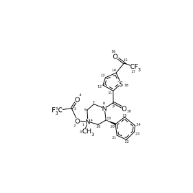 C[N+]1(OC(=O)C(F)(F)F)CCN(C(=O)c2ccc(C(=O)C(F)(F)F)s2)[C@@H](c2ccccc2)C1